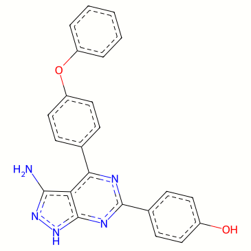 Nc1n[nH]c2nc(-c3ccc(O)cc3)nc(-c3ccc(Oc4ccccc4)cc3)c12